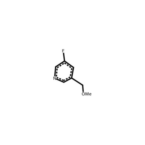 COCc1cncc(F)c1